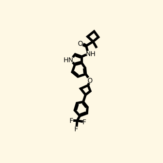 CC1(C(=O)Nc2c[nH]c3ccc(OC4CC(c5ccc(C(F)(F)F)cc5)C4)cc23)CCC1